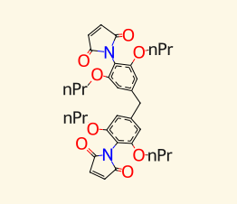 CCCOc1cc(Cc2cc(OCCC)c(N3C(=O)C=CC3=O)c(OCCC)c2)cc(OCCC)c1N1C(=O)C=CC1=O